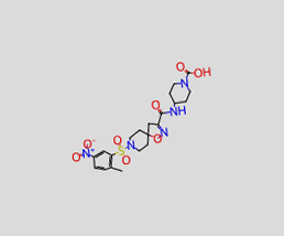 Cc1ccc([N+](=O)[O-])cc1S(=O)(=O)N1CCC2(CC1)CC(C(=O)NC1CCN(C(=O)O)CC1)=NO2